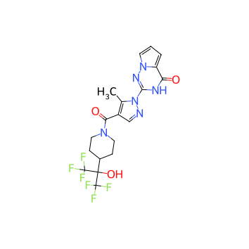 Cc1c(C(=O)N2CCC(C(O)(C(F)(F)F)C(F)(F)F)CC2)cnn1-c1nn2cccc2c(=O)[nH]1